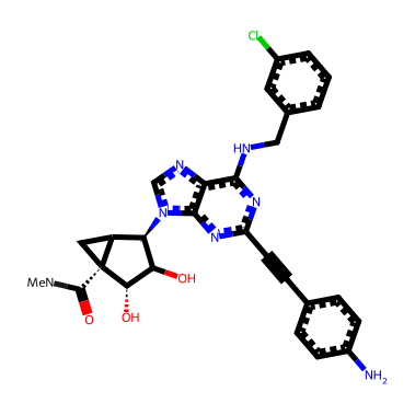 CNC(=O)[C@]12CC1[C@@H](n1cnc3c(NCc4cccc(Cl)c4)nc(C#Cc4ccc(N)cc4)nc31)C(O)[C@@H]2O